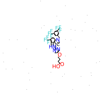 CCN(Cc1cc(C(F)(F)F)cc(C(F)(F)F)c1)c1ccc(C(F)(F)F)cc1CNc1ncc(OCCCC(=O)O)cn1